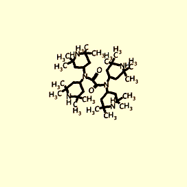 CC1(C)CC(N(C(=O)C(=O)N(C2CC(C)(C)NC(C)(C)C2)C2CC(C)(C)NC(C)(C)C2)C2CC(C)(C)NC(C)(C)C2)CC(C)(C)N1